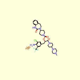 Br.Br.CN1CCN(C2CCN(C(=O)C(Cc3cc(Cl)c(N)c(C(F)(F)F)c3)OC(=O)N3CCC(N4CCc5ccccc5NC4=O)CC3)CC2)CC1